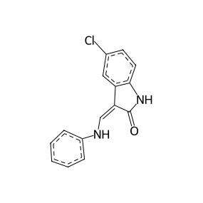 O=C1Nc2ccc(Cl)cc2C1=CNc1ccccc1